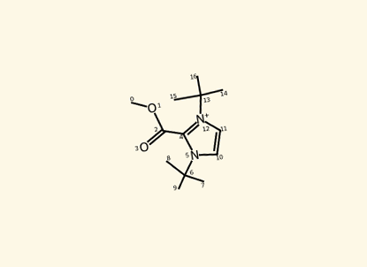 COC(=O)c1n(C(C)(C)C)cc[n+]1C(C)(C)C